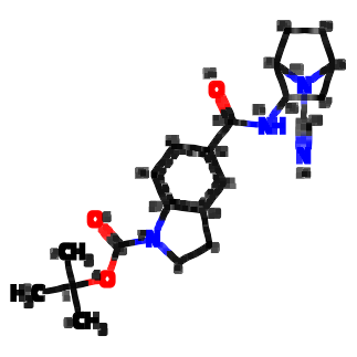 CC(C)(C)OC(=O)N1CCc2cc(C(=O)NC3CC4CCC3N4C#N)ccc21